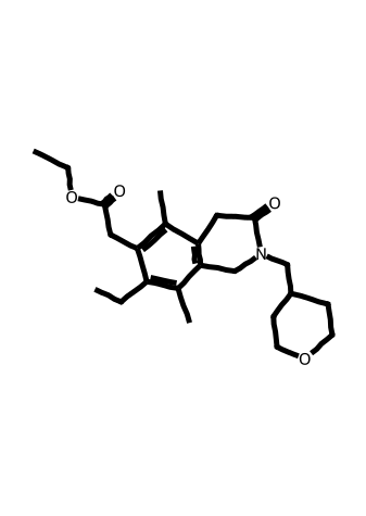 CCOC(=O)Cc1c(C)c2c(c(C)c1CC)CN(CC1CCOCC1)C(=O)C2